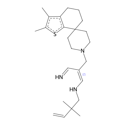 C=CC(C)(C)CN/C=C(\C=N)CN1CCC2(CCCc3c2sc(C)c3C)CC1